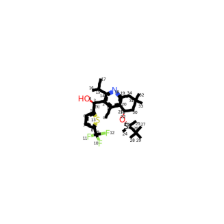 Cc1c([C@H](O)c2ccc(C(F)(F)F)s2)c(C(C)C)nc2c1[C@@H](O[Si](C)(C)C(C)(C)C)CC(C)(C)C2